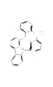 COc1cccc(OC)c1P(c1c(OC)cccc1OC)c1cccc2c3ccccc3n(C(N)=O)c12